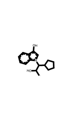 [CH2]C(O)C(C1CCCC1)n1cc(O)c2ccccc21